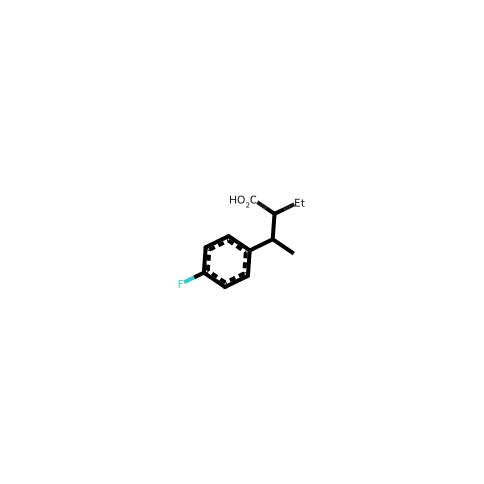 CCC(C(=O)O)C(C)c1ccc(F)cc1